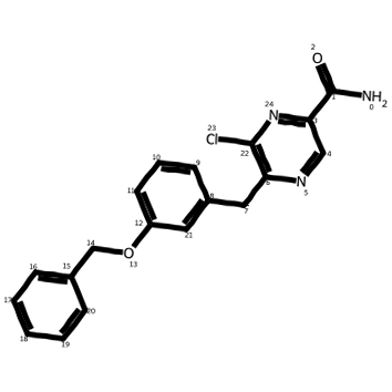 NC(=O)c1cnc([CH]c2cccc(OCc3ccccc3)c2)c(Cl)n1